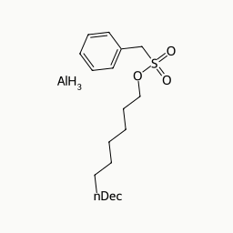 CCCCCCCCCCCCCCCCOS(=O)(=O)Cc1ccccc1.[AlH3]